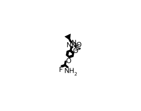 CS(=O)(=O)n1nc(C2CC2)nc1-c1ccc(OC/C(=C/F)CN)cc1